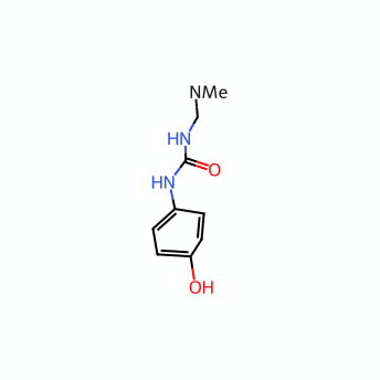 CNCNC(=O)Nc1ccc(O)cc1